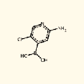 Nc1cc(B(O)O)c(Cl)cn1